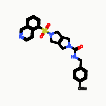 COc1ccc(CNC(=O)N2CC3=C(C2)CN(S(=O)(=O)c2cccc4cnccc24)C3)cc1